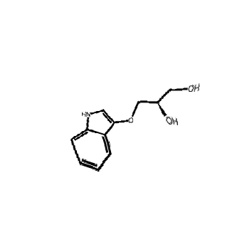 OC[C@@H](O)COc1c[nH]c2ccccc12